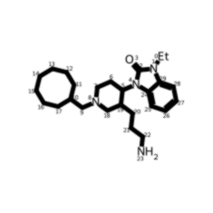 CCn1c(=O)n(C2CCN(CC3CCCCCCC3)CC2CCCN)c2ccccc21